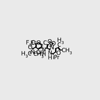 CCOC(=O)C1=C(Nc2ccc(C(F)(F)F)c(C(=O)N(C)C)c2O)C(N[C@@H](c2cc(C)c(C)o2)C(C)C)=NS1(=O)=O